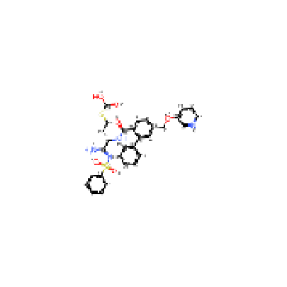 NC(=NS(=O)(=O)c1ccccc1)[C@H](CCSC(=O)O)NC(=O)c1ccc(COc2cccnc2)cc1-c1ccccc1